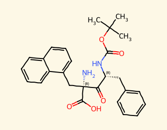 CC(C)(C)OC(=O)N[C@H](Cc1ccccc1)C(=O)[C@](N)(Cc1cccc2ccccc12)C(=O)O